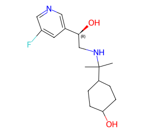 CC(C)(NC[C@H](O)c1cncc(F)c1)C1CCC(O)CC1